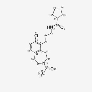 O=C(NCCCc1c(Cl)ccc2c1CCN(C(=O)C(F)(F)F)CC2)C1CCCC1